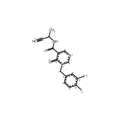 C#CC(C)NC(=O)c1cncn(Cc2ccc(F)c(F)c2)c1=O